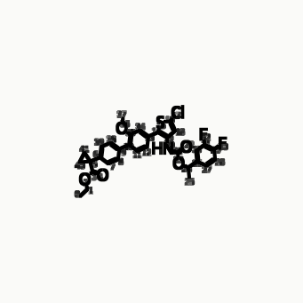 CCOC(=O)C1(c2ccc(-c3ccc(-c4sc(Cl)cc4NC(=O)OC(C)c4ccc(F)c(F)c4)cc3OC)cc2)CC1